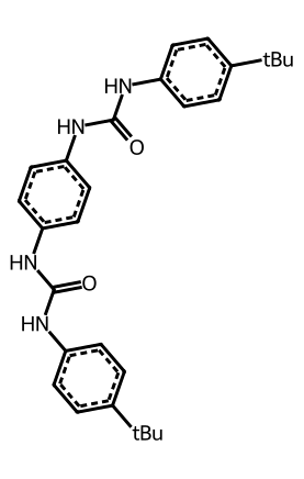 CC(C)(C)c1ccc(NC(=O)Nc2ccc(NC(=O)Nc3ccc(C(C)(C)C)cc3)cc2)cc1